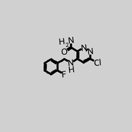 NC(=O)c1nnc(Cl)cc1NCc1ccccc1F